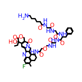 CC[C@@]1(O)C(=O)OCc2c1cc1n(c2=O)Cc2c-1nc1cc(F)c(C)c3c1c2[C@@H](NC(=O)COCNC(=O)CNC(=O)C(Cc1ccccc1)NC(=O)CNC(=O)CNC(=O)CCCCCN)CC3